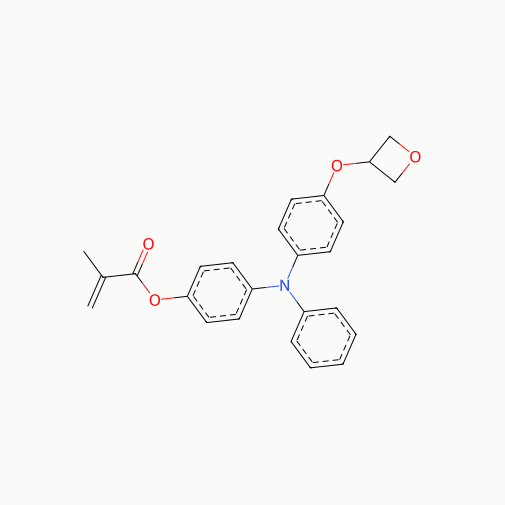 C=C(C)C(=O)Oc1ccc(N(c2ccccc2)c2ccc(OC3COC3)cc2)cc1